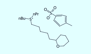 CCCC[S+](CCC)CCCCCC1CCCCO1.Cc1ccc(S(=O)(=O)[O-])cc1